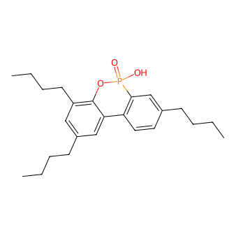 CCCCc1cc(CCCC)c2c(c1)-c1ccc(CCCC)cc1P(=O)(O)O2